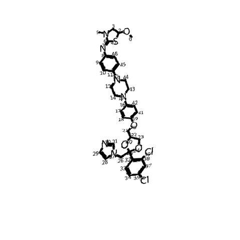 COC1CN(C)C(=Nc2ccc(N3CCN(c4ccc(OCC5COC(Cn6ccnc6)(c6ccc(Cl)cc6Cl)O5)cc4)CC3)cc2)S1